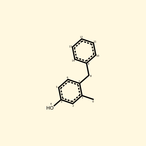 Cc1cc(O)ccc1Cc1ccccc1